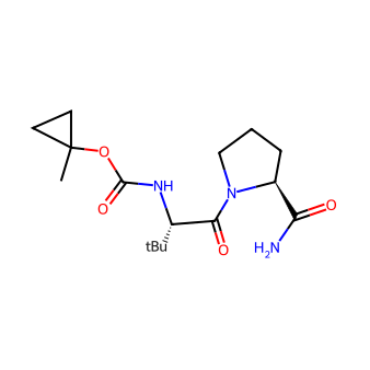 CC1(OC(=O)N[C@H](C(=O)N2CCC[C@H]2C(N)=O)C(C)(C)C)CC1